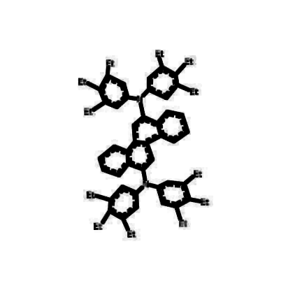 CCc1cc(N(c2cc(CC)c(CC)c(CC)c2)c2cc3c4ccccc4c(N(c4cc(CC)c(CC)c(CC)c4)c4cc(CC)c(CC)c(CC)c4)cc3c3ccccc23)cc(CC)c1CC